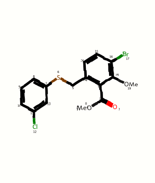 COC(=O)c1c(CSc2cccc(Cl)c2)ccc(Br)c1OC